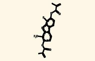 C=C(C)C(=O)Oc1ccc2c(sc3c(C(F)(F)F)c(OC(=O)C(=C)C)ccc32)c1F